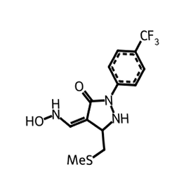 CSCC1NN(c2ccc(C(F)(F)F)cc2)C(=O)C1=CNO